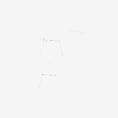 CC1(C)C[C@@]12CN[C@H](CO)C2